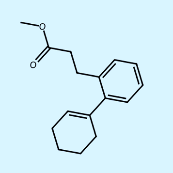 COC(=O)CCc1ccccc1C1=CCCCC1